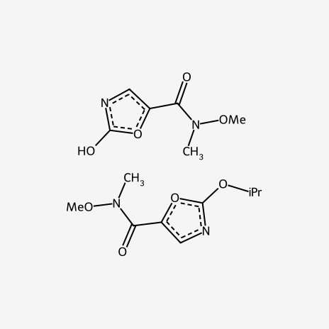 CON(C)C(=O)c1cnc(O)o1.CON(C)C(=O)c1cnc(OC(C)C)o1